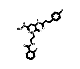 CC(C)(C)NC(=O)CC(NC(=O)CCc1ccc(F)cc1)C(=O)NCCNC(=O)c1ccccc1F